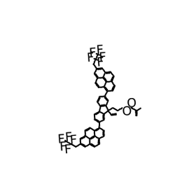 C=CC1(CCCOC(=O)C(=C)C)c2cc(-c3ccc4ccc5cc(CC(F)(F)C(F)(F)F)cc6ccc3c4c56)ccc2-c2ccc(-c3ccc4ccc5cc(CC(F)(F)C(F)(F)F)cc6ccc3c4c56)cc21